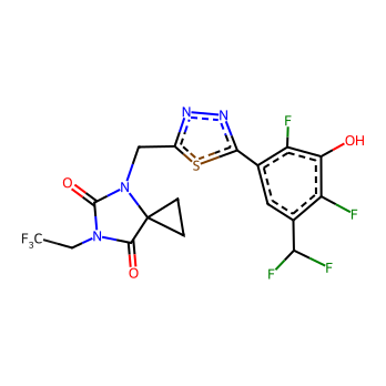 O=C1N(CC(F)(F)F)C(=O)C2(CC2)N1Cc1nnc(-c2cc(C(F)F)c(F)c(O)c2F)s1